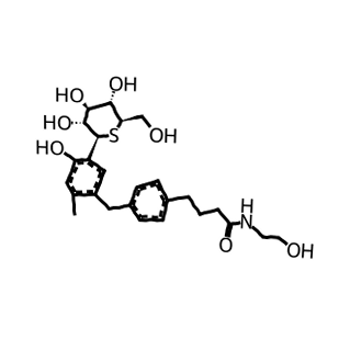 Cc1cc(O)c([C@@H]2S[C@H](CO)[C@@H](O)[C@H](O)[C@H]2O)cc1Cc1ccc(CCCC(=O)NCCO)cc1